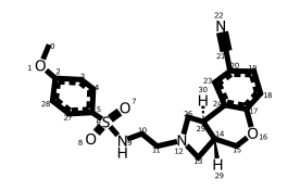 COc1ccc(S(=O)(=O)NCCN2C[C@H]3COc4ccc(C#N)cc4[C@@H]3C2)cc1